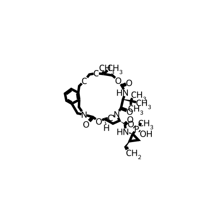 C=C[C@@H]1C[C@]1(NC(=O)[C@@H]1C[C@@H]2CN1C(=O)[C@H](C(C)(C)C)NC(=O)OCC(C)(C)CCCCc1cccc3c1CN(C3)C(=O)O2)P(C)(=O)O